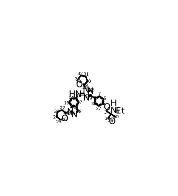 CCNC1(COc2ccc(-c3nc(Nc4ccc5c(cnn5C5CCCCO5)c4)n(C4CCCCO4)n3)cc2)COC1